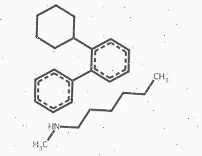 CCCCCCNC.c1ccc(-c2ccccc2C2CCCCC2)cc1